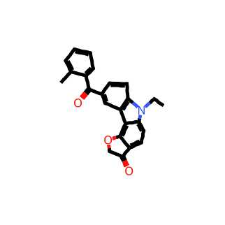 CCn1c2ccc(C(=O)c3ccccc3C)cc2c2c3c(ccc21)C(=O)CO3